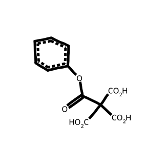 O=C(O)C(C(=O)O)(C(=O)O)C(=O)Oc1ccccc1